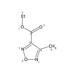 CCOC(=O)c1nonc1C